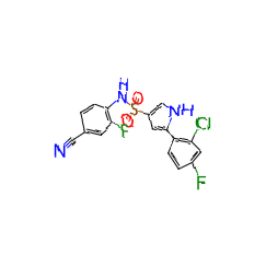 N#Cc1ccc(NS(=O)(=O)c2c[nH]c(-c3ccc(F)cc3Cl)c2)c(F)c1